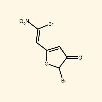 O=C1C=C(C=C(Br)[N+](=O)[O-])OC1Br